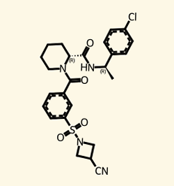 C[C@@H](NC(=O)[C@H]1CCCCN1C(=O)c1cccc(S(=O)(=O)N2CC(C#N)C2)c1)c1ccc(Cl)cc1